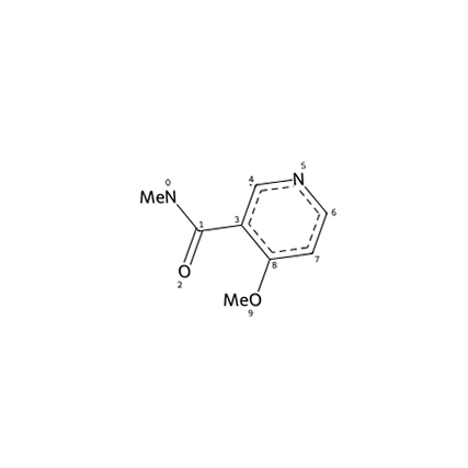 CNC(=O)c1[c]nccc1OC